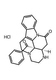 Cl.O=C1C[C@H]2NCCN3CCc4c(n1c1ccccc41)[C@@]23C(=O)c1ccccc1